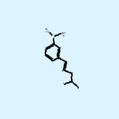 CC(C)CC=Cc1cccc(B(O)O)c1